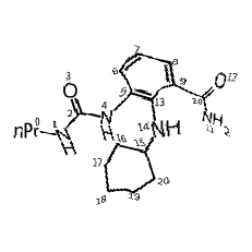 CCCNC(=O)Nc1cccc(C(N)=O)c1NC1CCCCC1